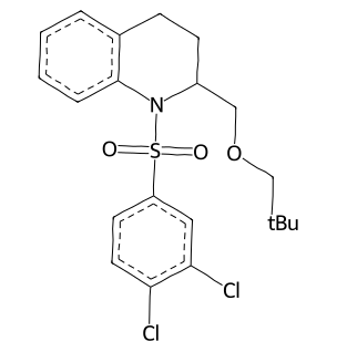 CC(C)(C)COCC1CCc2ccccc2N1S(=O)(=O)c1ccc(Cl)c(Cl)c1